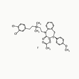 COc1ccc([C@@H]2Sc3ccccc3N(CC[N+](C)(C)CCc3ccc(Cl)c(Cl)c3)C(=O)[C@@H]2OC(C)=O)cc1.[I-]